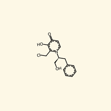 O=c1ccn([C@H](CO)Cc2ccccc2)c(CCl)c1O